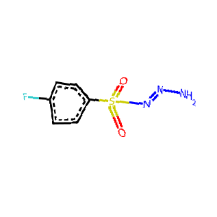 NN=NS(=O)(=O)c1ccc(F)cc1